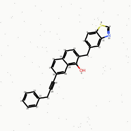 Oc1c(Cc2ccc3scnc3c2)ccc2ccc(C#CCc3ccccc3)cc12